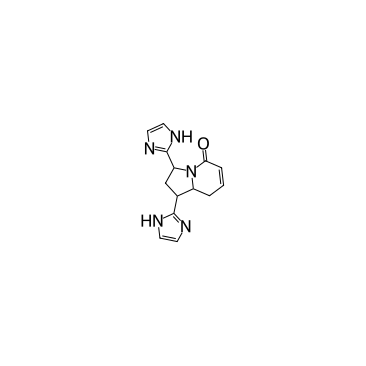 O=C1C=CCC2C(c3ncc[nH]3)CC(c3ncc[nH]3)N12